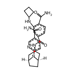 NC(=O)c1ccc(N2[C@@H]3CC[C@H]2C[C@@H](NC(=O)c2ccc(C(N)=O)c(NC4CCC4)c2)C3)nc1